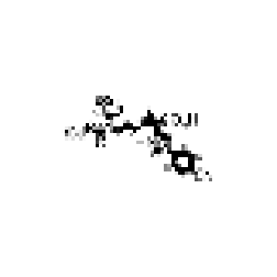 CC(C)(C)OC(=O)N(CCC[C@H]1C[C@]1(C(=O)O)C1=CN(c2ccc(C#N)cc2)CN1)C(=O)OC(C)(C)C